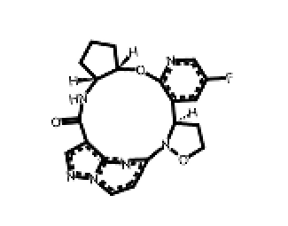 O=C1N[C@@H]2CCC[C@@H]2Oc2ncc(F)cc2[C@H]2CCON2c2ccn3ncc1c3n2